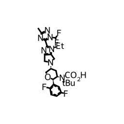 CCn1c(-c2nc(C)nn2C(F)F)nc2c1CN([C@H]1CO[C@H](c3cc(F)ccc3F)[C@@H](N(C(=O)O)C(C)(C)C)C1)C2